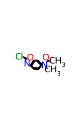 CC(=O)N(C)c1ccc2nc(Cl)oc2c1